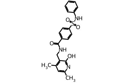 Cc1cc(C)c(CNC(=O)c2ccc(S(=O)(=O)Nc3ccccc3)cc2)c(O)n1